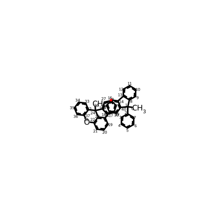 CC1(c2ccccc2)c2ccccc2-c2ccc(-c3cccc4c3C(C)(c3ccccc3)c3ccccc3O4)cc21